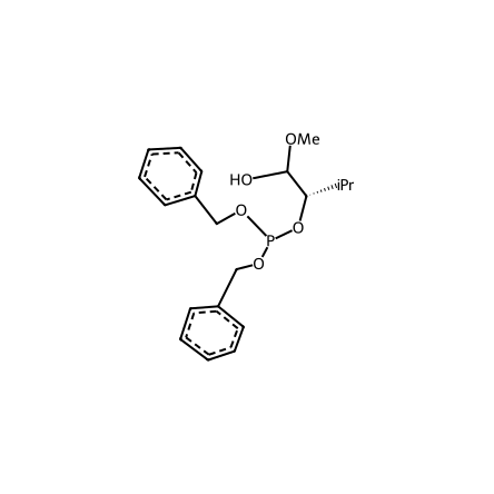 COC(O)[C@@H](OP(OCc1ccccc1)OCc1ccccc1)C(C)C